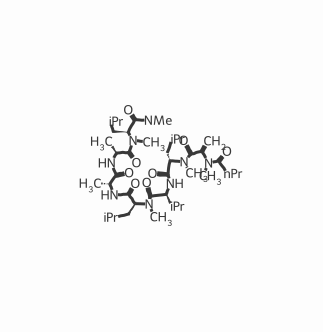 C=C(C(=O)N(C)[C@@H](CC(C)C)C(=O)N[C@H](C(=O)N(C)[C@@H](CC(C)C)C(=O)N[C@H](C)C(=O)N[C@@H](C)C(=O)N(C)[C@@H](CC(C)C)C(=O)NC)C(C)C)N(C)C(=O)CCC